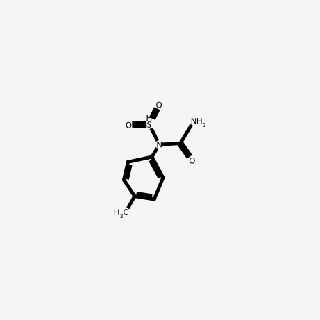 Cc1ccc(N(C(N)=O)[SH](=O)=O)cc1